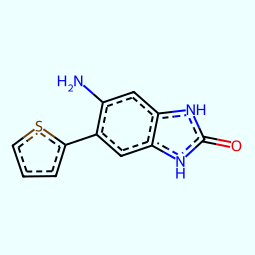 Nc1cc2[nH]c(=O)[nH]c2cc1-c1cccs1